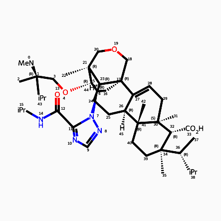 CN[C@@](C)(CO[C@H]1[C@H](n2ncnc2C(=O)NC(C)C)C[C@@]23COC[C@@]1(C)[C@@H]2CC[C@H]1C3=CC[C@@]2(C)[C@H](C(=O)O)[C@@](C)([C@H](C)C(C)C)CC[C@]12C)C(C)C